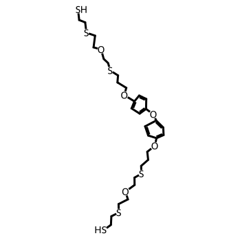 SCCSCCOCCSCCCOc1ccc(Oc2ccc(OCCCSCCOCCSCCS)cc2)cc1